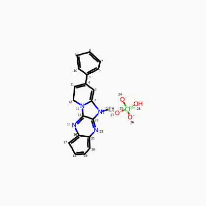 CCN1C2=CC(c3ccccc3)=CCN2c2nc3ccccc3nc21.[O-][Cl+3]([O-])([O-])O